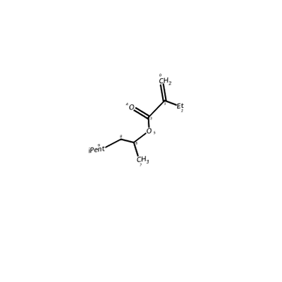 C=C(CC)C(=O)OC(C)CC(C)CCC